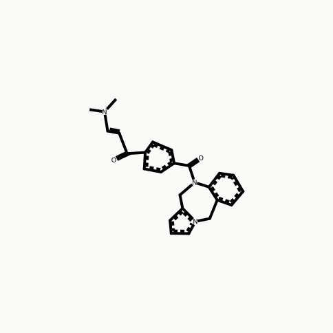 CN(C)C=CC(=O)c1ccc(C(=O)N2Cc3cccn3Cc3ccccc32)cc1